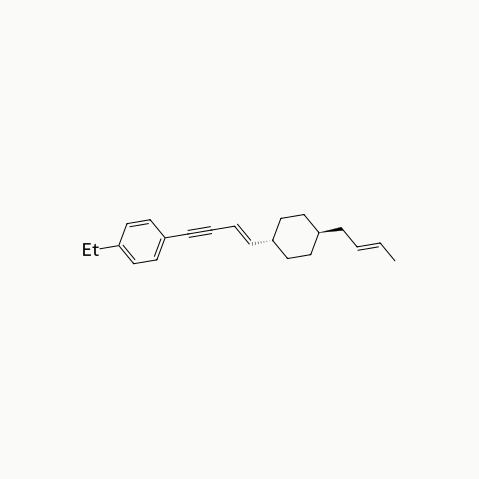 C/C=C/C[C@H]1CC[C@H](/C=C/C#Cc2ccc(CC)cc2)CC1